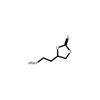 CCCCCCCC1CSC(=S)O1